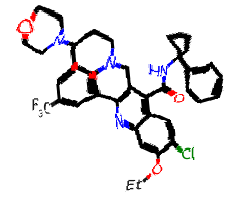 CCOc1cc2nc(-c3cccc(C(F)(F)F)c3)c(CN3CCC(N4CCOCC4)CC3)c(C(=O)NC3(c4ccccc4)CC3)c2cc1Cl